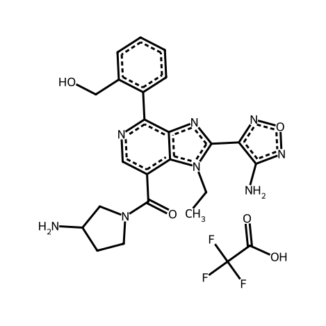 CCn1c(-c2nonc2N)nc2c(-c3ccccc3CO)ncc(C(=O)N3CCC(N)C3)c21.O=C(O)C(F)(F)F